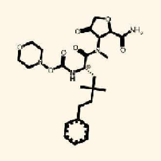 CN(C(=O)[C@H](CC(C)(C)CCc1ccccc1)NC(=O)ON1CCOCC1)C1C(=O)COC1C(N)=O